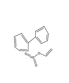 C=CO[SH](=O)=O.c1ccc(-c2ccccc2)cc1